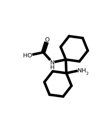 NC1(C2(NC(=O)O)CCCCC2)CCCCC1